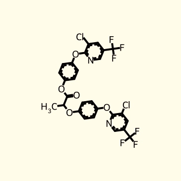 CC(Oc1ccc(Oc2ncc(C(F)(F)F)cc2Cl)cc1)C(=O)Oc1ccc(Oc2ncc(C(F)(F)F)cc2Cl)cc1